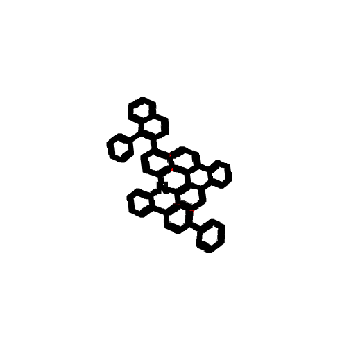 c1ccc(-c2ccc(-c3ccccc3N(c3ccc(-c4ccc5ccccc5c4-c4ccccc4)cc3)c3cccc4c5ccccc5c5ccccc5c34)cc2)cc1